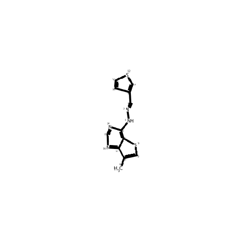 Cc1csc2c(NN=Cc3ccsc3)ncnc12